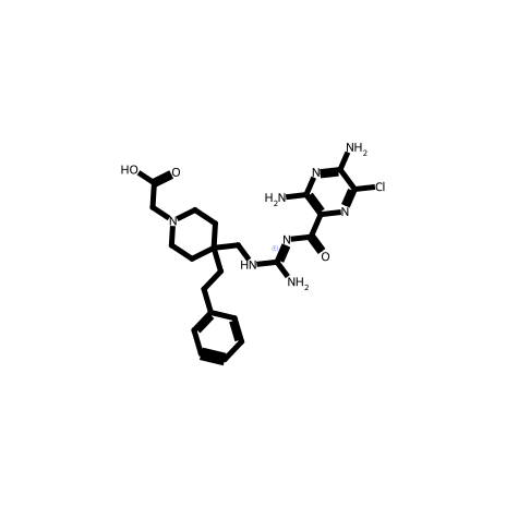 N/C(=N\C(=O)c1nc(Cl)c(N)nc1N)NCC1(CCc2cc#ccc2)CCN(CC(=O)O)CC1